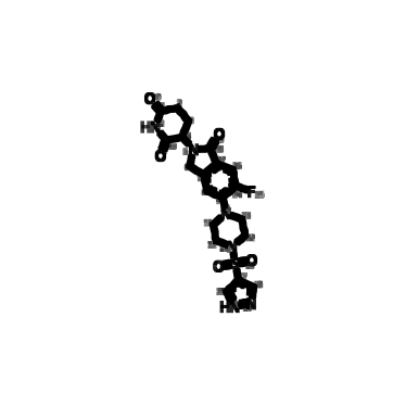 O=C1CCC(N2Cc3cc(N4CCN(S(=O)(=O)c5cn[nH]c5)CC4)c(F)cc3C2=O)C(=O)N1